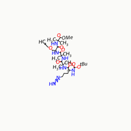 C#CCOC[C@H](NC(=O)C(C)(C)NC(=O)C(C)(C)NC(=O)[C@H](CCCN=[N+]=N)NC(=O)OC(C)(C)C)C(=O)NC(C)(C)C(=O)OC